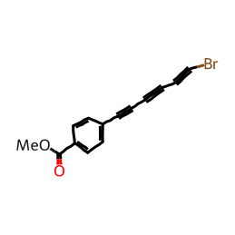 COC(=O)c1ccc(C#CC#CC#CBr)cc1